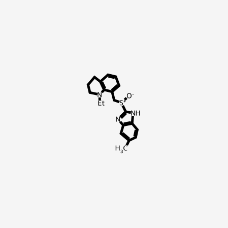 CCN1CCCc2cccc(C[S+]([O-])c3nc4cc(C)ccc4[nH]3)c21